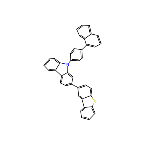 c1ccc2c(-c3ccc(-n4c5ccccc5c5ccc(-c6ccc7sc8ccccc8c7c6)cc54)cc3)cccc2c1